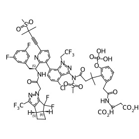 CC(C)(CC(=O)N(c1nn(CC(F)(F)F)c2c(-c3ccc(C#CC(C)(C)S(C)(=O)=O)nc3[C@H](Cc3cc(F)cc(F)c3)NC(=O)Cn3nc(C(F)(F)F)c4c3C(F)(F)[C@@H]3CC[C@H]43)ccc(Cl)c12)S(C)(=O)=O)c1c(CC(=O)N[C@@H](CC(=O)O)C(=O)O)cccc1OP(=O)(O)O